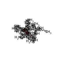 CCCCCCOP(=O)(S)OC1C[C@H](n2cc(C)c(=O)[nH]c2=O)O[C@@H]1COP(=O)(S)OC1C[C@H](n2cc(C)c(=O)[nH]c2=O)O[C@@H]1COP(=O)(S)OC1C[C@H](n2cnc3c(N)ncnc32)O[C@@H]1COP(=O)(S)OC1C[C@H](n2cc(C)c(N)nc2=O)O[C@@H]1COP(=O)(S)OC1C[C@H](n2cnc3c(N)ncnc32)O[C@@H]1COP(=O)(S)OC1C[C@H](n2cnc3c(=O)[nH]c(N)nc32)O[C@@H]1CC